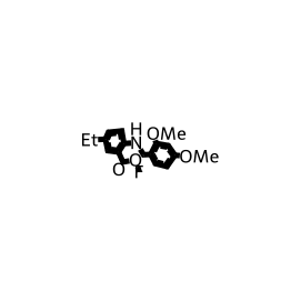 CCc1ccc(NCc2ccc(OC)cc2OC)c(C(=O)OF)c1